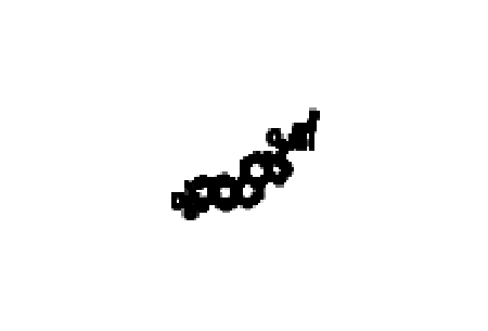 CCCNC(=O)C1=CCC2C3CCc4cc5c(cc4C3CCC12C)C=NS(=O)(=O)O5